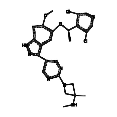 CNC1(C)CN(c2ncc(-c3n[nH]c4cc(OC)c(O[C@H](C)c5c(Cl)cncc5Cl)cc34)cn2)C1